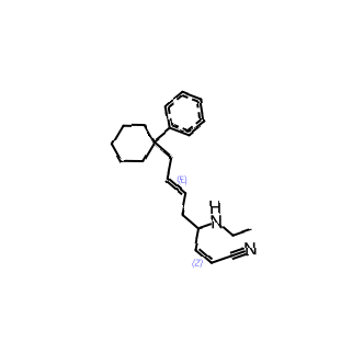 CCNC(/C=C\C#N)C/C=C/CC1(c2ccccc2)CCCCC1